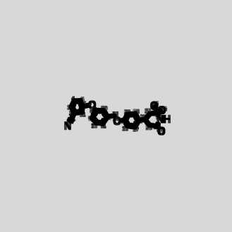 N#Cc1cccc(Oc2cccc(COc3ccc(C4CC(=O)NS(=O)(=O)C4)cc3)c2)c1